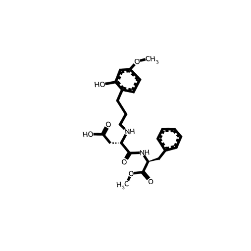 COC(=O)[C@H](Cc1ccccc1)NC(=O)[C@H](CC(=O)O)NCCCc1ccc(OC)cc1O